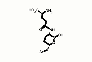 CC(=O)C[C@@H]1CC[C@H](NC(=O)CC[C@H](N)C(=O)O)B(O)O1